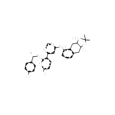 C[C@@H](Nc1nc(C(F)(F)F)ccc1-c1cc(Nc2cccc3c2C[C@H]2OC(C)(C)O[C@H]2C3)ncn1)c1ccc(C(F)(F)F)cc1